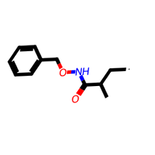 [CH2]CC(C)C(=O)NOCc1ccccc1